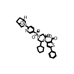 O=C(O)c1sc(-c2ccccc2)cc1N1C(=O)CN(S(=O)(=O)c2ccc(N3CC4CC[C@H](C3)O4)nc2)CC1C1CCCCC1